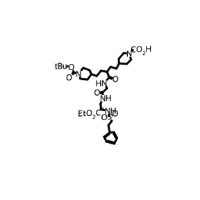 CCOC(=O)[C@H](CNC(=O)CNC(=O)C(CCC1CCN(C(=O)O)CC1)CCC1CCN(C(=O)OC(C)(C)C)CC1)NS(=O)(=O)CCc1ccccc1